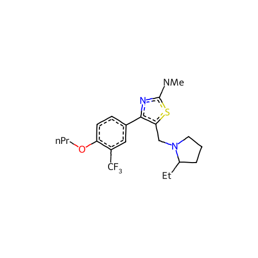 CCCOc1ccc(-c2nc(NC)sc2CN2CCCC2CC)cc1C(F)(F)F